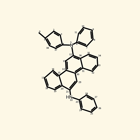 Cc1ccc(N(c2ccccc2)c2cc3c4ccccc4c(Nc4ccccc4)cc3c3ccccc23)cc1